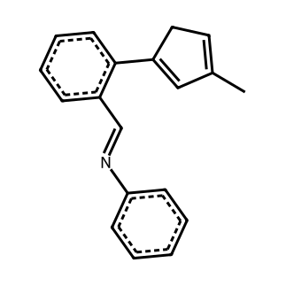 CC1=CCC(c2ccccc2/C=N/c2ccccc2)=C1